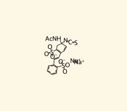 CC(=O)NC1(N=C=S)C=CC(C=Cc2ccccc2S(=O)(=O)[O-])=C(S(=O)(=O)[O-])C1.[Na+].[Na+]